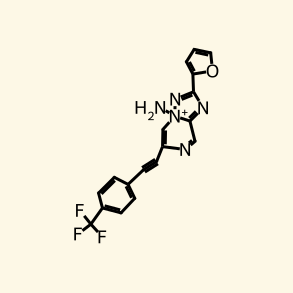 N[N+]12C=C(C#Cc3ccc(C(F)(F)F)cc3)N=CC1=NC(c1ccco1)=N2